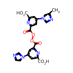 Cc1cn(-c2cc(C(=O)O)nc(C(=O)OOC(=O)c3cc(-n4ccnc4)cc(C(=O)O)n3)c2)cn1